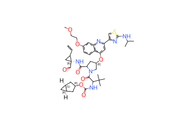 C=CC1C[C@@]1(C=O)NC(=O)C1C[C@@H](Oc2cc(-c3csc(NC(C)C)n3)nc3cc(OCCOC)ccc23)CN1C(=O)C(NC(=O)O[C@@H]1C[C@@H]2C[C@@H]2C1)C(C)(C)C